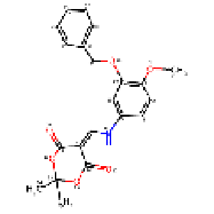 COc1ccc(NC=C2C(=O)OC(C)(C)OC2=O)cc1OCc1ccccc1